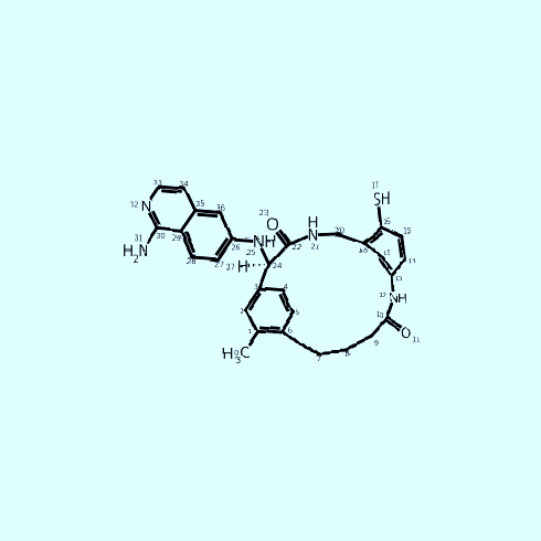 Cc1cc2ccc1CCCC(=O)Nc1ccc(S)c(c1)CNC(=O)[C@@H]2Nc1ccc2c(N)nccc2c1